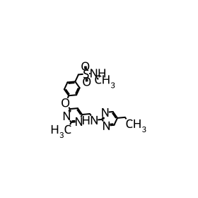 CCc1cnc(NCc2cc(Oc3ccc(CS(=O)(=O)NC)cc3)nc(C)n2)nc1